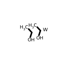 CCO.CCO.[W]